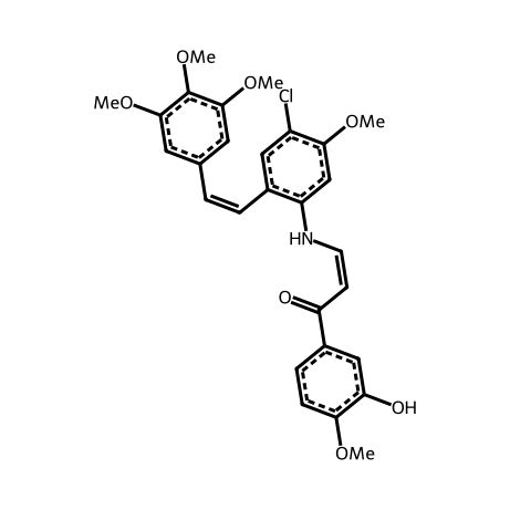 COc1ccc(C(=O)/C=C\Nc2cc(OC)c(Cl)cc2/C=C\c2cc(OC)c(OC)c(OC)c2)cc1O